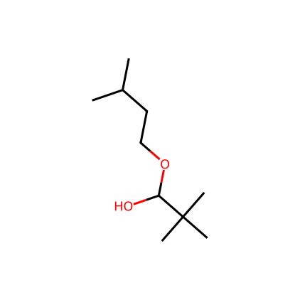 CC(C)CCOC(O)C(C)(C)C